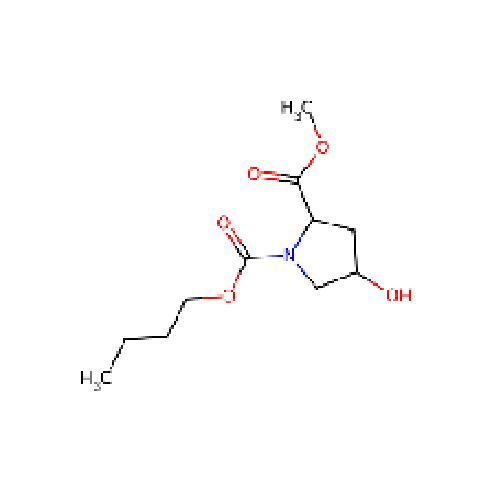 CCCCOC(=O)N1CC(O)CC1C(=O)OC